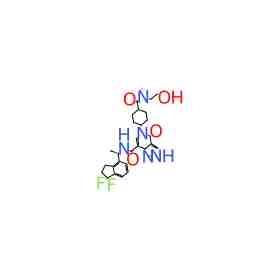 C[C@@H](NC(=O)c1cn(C2CCC(C(=O)N(C)CCO)CC2)c(=O)c2c[nH]nc12)c1cccc2c1CCC2(F)F